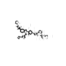 COC(=O)N[C@H](C(=O)N1CCC[C@H]1c1ncc(-c2cc(C)c3c(c2)OC(c2cnc(C4CCC4)s2)n2c-3cc3cc(-c4cnc([C@@H]5CCCN5)[nH]4)ccc32)[nH]1)C(C)C